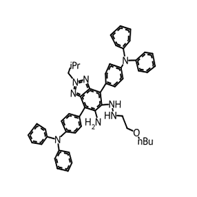 CCCCOCCNNc1c(N)c(-c2ccc(N(c3ccccc3)c3ccccc3)cc2)c2nn(CC(C)C)nc2c1-c1ccc(N(c2ccccc2)c2ccccc2)cc1